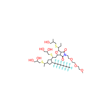 CCC(SCC(C)CO)C1OC(CC(SCC(O)CO)C2CC(C(C)SCC(O)CO)CC2C(F)(F)C(F)(F)C(F)(F)C(F)(F)C(F)(F)C(F)(F)F)C2C(=O)N(CCOCCOCCOC)C(=O)C12